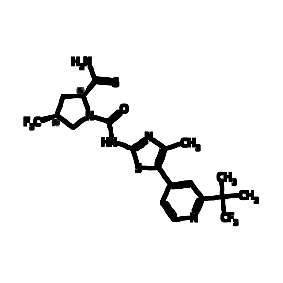 Cc1nc(NC(=O)N2C[C@@H](C(F)(F)F)C[C@H]2C(N)=S)sc1-c1ccnc(C(C)(C)C(F)(F)F)c1